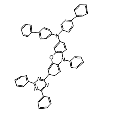 C1=C2Oc3cc(N(c4ccc(-c5ccccc5)cc4)c4ccc(-c5ccccc5)cc4)ccc3N(c3ccccc3)C2=CCC1c1nc(-c2ccccc2)nc(-c2ccccc2)n1